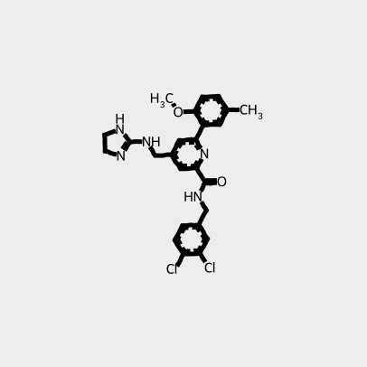 COc1ccc(C)cc1-c1cc(CNC2=NCCN2)cc(C(=O)NCc2ccc(Cl)c(Cl)c2)n1